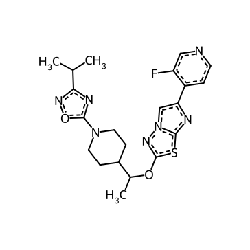 CC(C)c1noc(N2CCC(C(C)Oc3nn4cc(-c5ccncc5F)nc4s3)CC2)n1